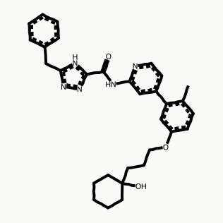 Cc1ccc(OCCCC2(O)CCCCC2)cc1-c1ccnc(NC(=O)c2nnc(Cc3ccccc3)[nH]2)c1